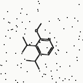 COc1nccc(C(C)C)c1C(C)C